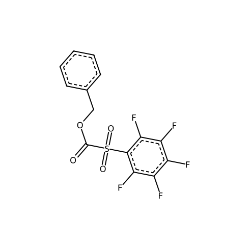 O=C(OCc1ccccc1)S(=O)(=O)c1c(F)c(F)c(F)c(F)c1F